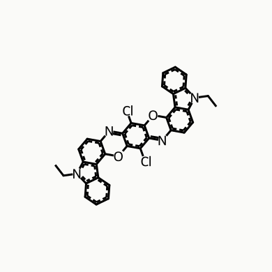 CCn1c2ccccc2c2c3c(ccc21)N=c1c(Cl)c2c(c(Cl)c1O3)=Nc1ccc3c(c1O2)c1ccccc1n3CC